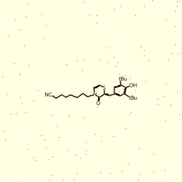 CC(C)(C)c1cc(C=C2SC=CN(CCCCCCCC#N)C2=O)cc(C(C)(C)C)c1O